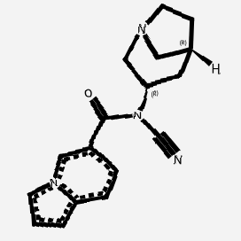 N#CN(C(=O)c1ccc2cccn2c1)[C@@H]1C[C@H]2CCN(C2)C1